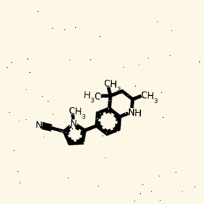 CC1CC(C)(C)c2cc(-c3ccc(C#N)n3C)ccc2N1